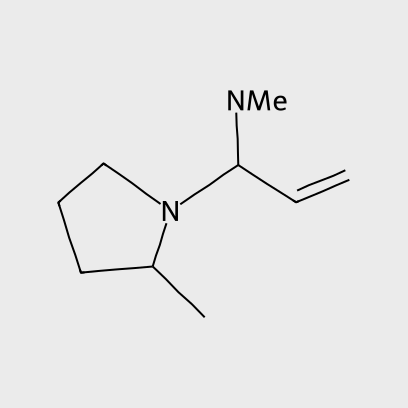 C=CC(NC)N1CCCC1C